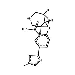 Cn1cnc(-c2ccc(O[C@@H]3[C@@H]4CC[C@H]3CNC4)c(C(N)=O)c2)c1